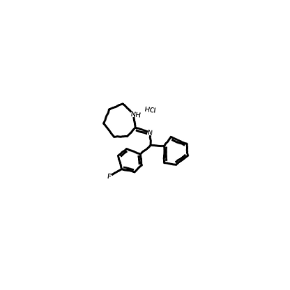 Cl.Fc1ccc(C(N=C2CCCCCN2)c2ccccc2)cc1